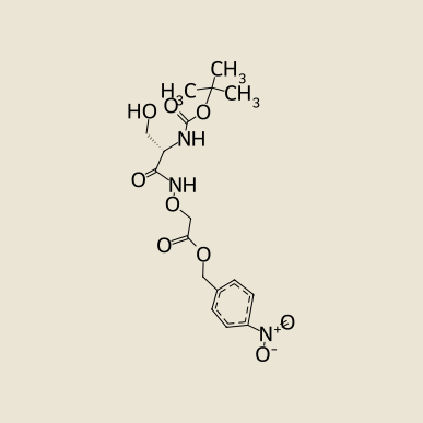 CC(C)(C)OC(=O)N[C@@H](CO)C(=O)NOCC(=O)OCc1ccc([N+](=O)[O-])cc1